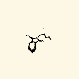 CCC[C@@H](C)CN1C(=O)c2ccccc2C1=O